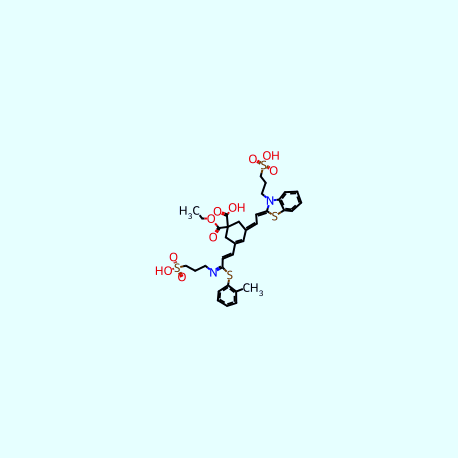 CCOC(=O)C1(C(=O)O)CC(/C=C/C(=N\CCCS(=O)(=O)O)Sc2ccccc2C)=CC(=C/C=C2\Sc3ccccc3N2CCCS(=O)(=O)O)/C1